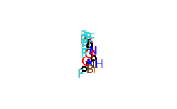 O=C(Nc1cccc(C(=O)N(I)c2ccc(C(F)(C(F)(F)F)C(F)(F)F)cc2C(F)(F)F)c1)c1ccc(F)cc1Br